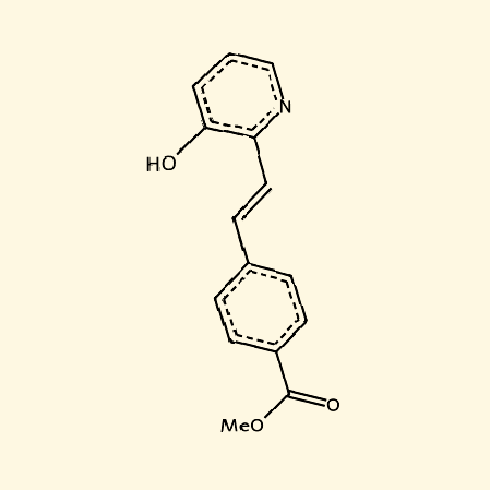 COC(=O)c1ccc(/C=C/c2ncccc2O)cc1